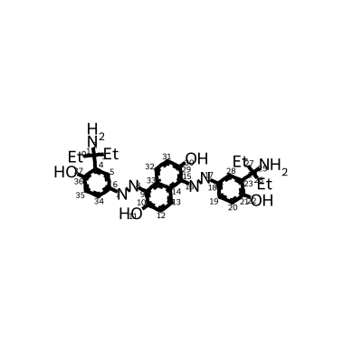 CCC(N)(CC)c1cc(N=Nc2c(O)ccc3c(N=Nc4ccc(O)c(C(N)(CC)CC)c4)c(O)ccc23)ccc1O